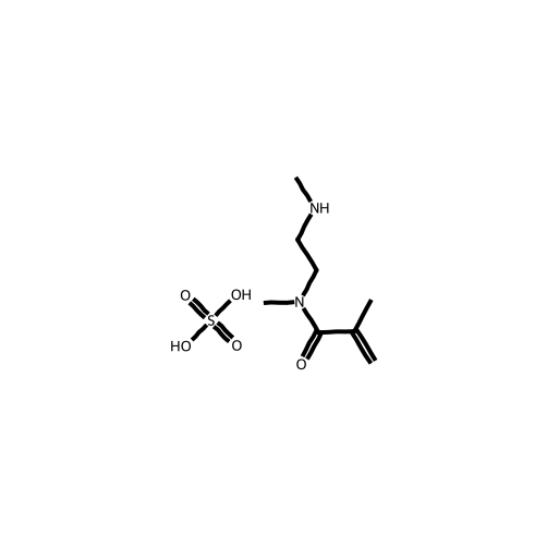 C=C(C)C(=O)N(C)CCNC.O=S(=O)(O)O